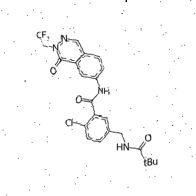 CC(C)(C)C(=O)NCc1ccc(Cl)c(C(=O)Nc2ccc3cnn(CC(F)(F)F)c(=O)c3c2)c1